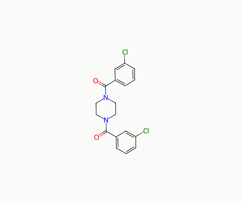 O=C(c1cccc(Cl)c1)N1CCN(C(=O)c2cccc(Cl)c2)CC1